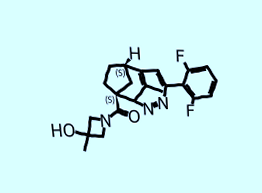 CC1=C2C=C(c3c(F)cccc3F)N=NC1[C@]1(C(=O)N3CC(C)(O)C3)CC[C@H]2C1